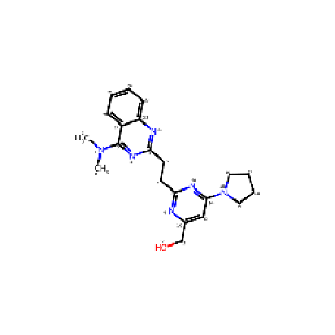 CN(C)c1nc(CCc2nc(CO)cc(N3CCCC3)n2)nc2ccccc12